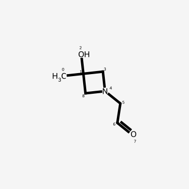 CC1(O)CN(CC=O)C1